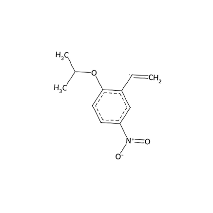 C=[C]c1cc([N+](=O)[O-])ccc1OC(C)C